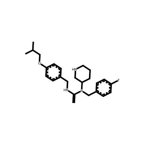 C=C(NCc1ccc(OCC(C)C)cc1)N(Cc1ccc(F)cc1)C1CCCNC1